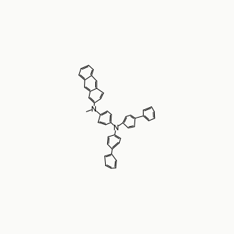 CN(c1ccc(N(c2ccc(-c3ccccc3)cc2)c2ccc(-c3ccccc3)cc2)cc1)c1ccc2cc3ccccc3cc2c1